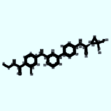 CCNC(=O)c1ccc(Nc2nccc(-c3ccc(NC(=O)[C@@H]4CC4(F)F)cc3)n2)cc1C